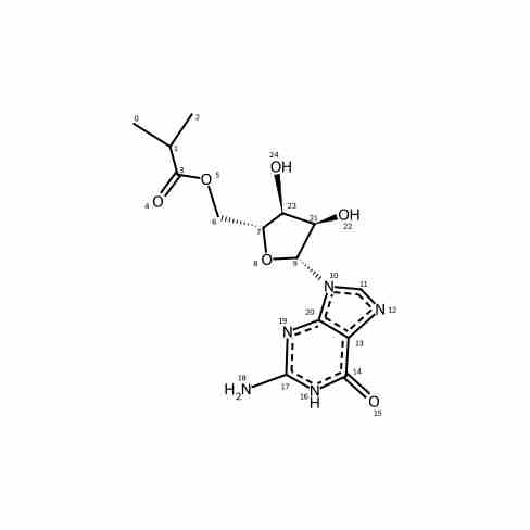 CC(C)C(=O)OC[C@H]1O[C@@H](n2cnc3c(=O)[nH]c(N)nc32)[C@H](O)[C@@H]1O